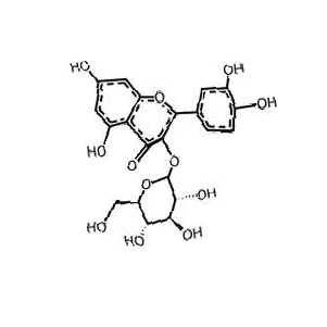 O=c1c(OC2O[C@H](CO)[C@@H](O)[C@H](O)[C@H]2O)c(-c2ccc(O)c(O)c2)oc2cc(O)cc(O)c12